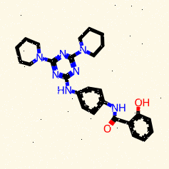 O=C(Nc1ccc(Nc2nc(N3CCCCC3)nc(N3CCCCC3)n2)cc1)c1ccccc1O